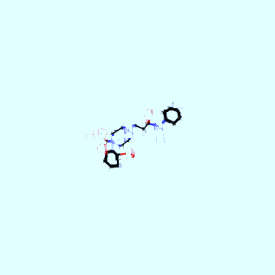 COc1ccccc1[N+]1(C(=O)O)CCN(CCC(=O)Nc2ccccc2)CC1